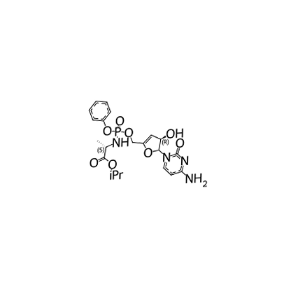 CC(C)OC(=O)[C@H](C)NP(=O)(OCC1=C[C@@H](O)C(n2ccc(N)nc2=O)O1)Oc1ccccc1